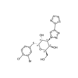 OC[C@H]1O[C@H](Sc2ccc(Cl)c(Br)c2)[C@H](O)[C@@H](n2cc(-c3nccs3)nn2)[C@H]1O